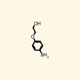 Bc1ccc(OCCO)cc1